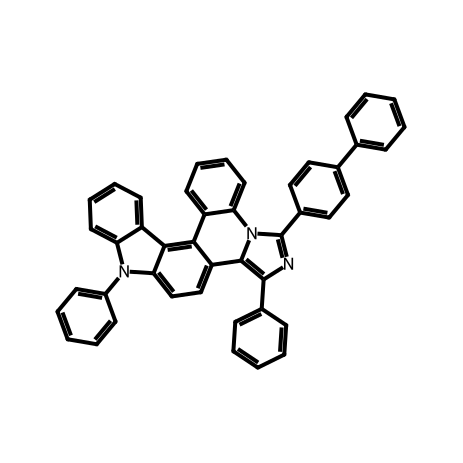 c1ccc(-c2ccc(-c3nc(-c4ccccc4)c4c5ccc6c(c7ccccc7n6-c6ccccc6)c5c5ccccc5n34)cc2)cc1